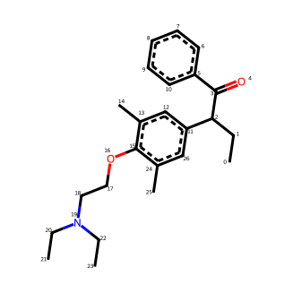 CCC(C(=O)c1ccccc1)c1cc(C)c(OCCN(CC)CC)c(C)c1